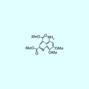 COC(=O)c1cc(C(=O)OC)c2c(N)cc(OC)c(OC)c2n1